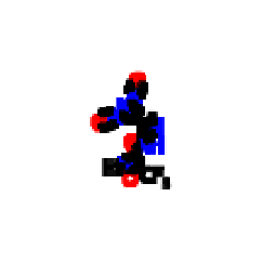 CCn1cc(C(=O)Nc2cnc(C)c(-c3cc(N4CCOCC4)nc(N4CCOCC4)c3)c2)cc(C(F)(F)F)c1=O